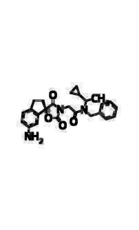 CC(C1CC1)N(Cc1ccccc1)C(=O)CN1C(=O)O[C@@]2(CCc3ccc(N)cc32)C1=O